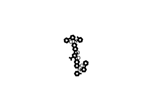 Cc1ccccc1N(c1ccc2cc3c(cc2c1)oc1c3cc(C(C)C)c2c3cc4ccc(N(c5ccccc5C)c5cccc6c5oc5ccccc56)cc4cc3oc12)c1cccc2c1oc1ccccc12